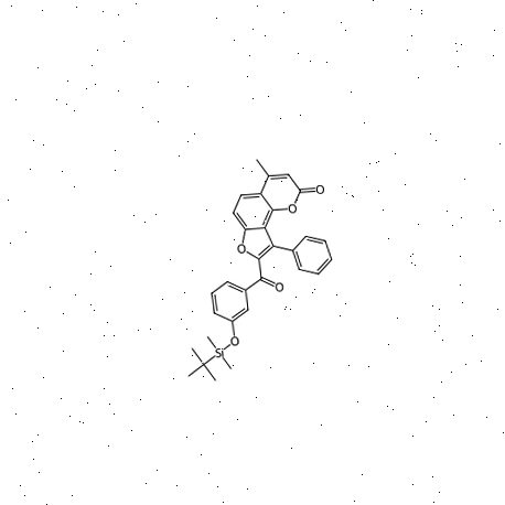 Cc1cc(=O)oc2c1ccc1oc(C(=O)c3cccc(O[Si](C)(C)C(C)(C)C)c3)c(-c3ccccc3)c12